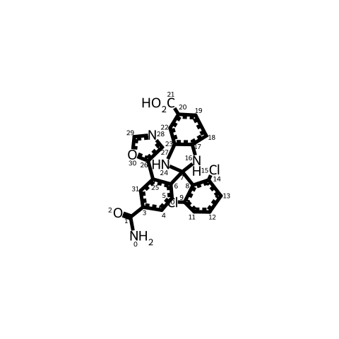 NC(=O)c1ccc(C2(c3c(Cl)cccc3Cl)Nc3ccc(C(=O)O)cc3N2)c(-c2cnco2)c1